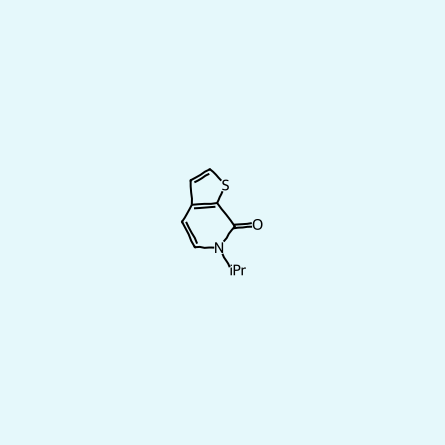 CC(C)n1ccc2ccsc2c1=O